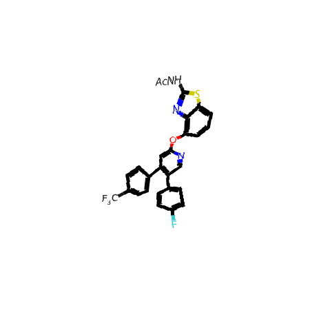 CC(=O)Nc1nc2c(Oc3cc(-c4ccc(C(F)(F)F)cc4)c(-c4ccc(F)cc4)cn3)cccc2s1